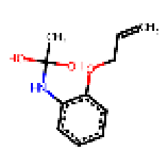 C=CCOc1ccccc1NC(C)(O)O